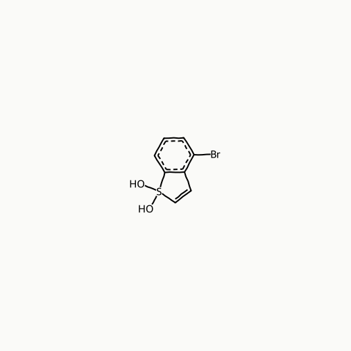 OS1(O)C=Cc2c(Br)cccc21